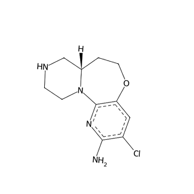 Nc1nc2c(cc1Cl)OCC[C@H]1CNCCN21